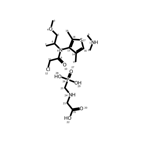 CNC.COCC(C)N(C(=O)CCl)c1c(C)csc1C.O=C(O)CNCP(=O)(O)O